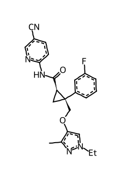 CCn1cc(OC[C@@]2(c3cccc(F)c3)C[C@H]2C(=O)Nc2ccc(C#N)cn2)c(C)n1